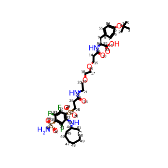 CC(C)(C)Oc1ccc(C[C@H](NC(=O)CCOCCOCCNC(=O)CCS(=O)(=O)c2c(F)c(F)c(S(N)(=O)=O)c(F)c2NC2CCCCCCC2)C(=O)O)cc1